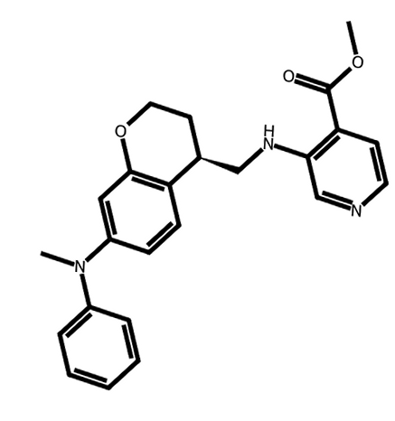 COC(=O)c1ccncc1NC[C@@H]1CCOc2cc(N(C)c3ccccc3)ccc21